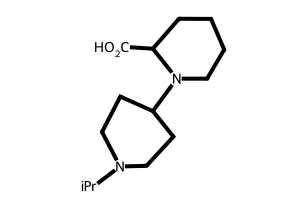 CC(C)N1CCC(N2CCCCC2C(=O)O)CC1